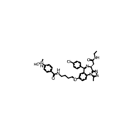 CCNC(=O)C[C@@H]1N=C(c2ccc(Cl)cc2)c2cc(OCCCCNC(=O)c3ccc([SiH](C)O)cc3)ccc2-n2c(C)nnc21